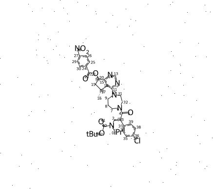 CC(C)N(C[C@@H](C(=O)N1CCCN(c2ncnc3c2[C@H](C)C[C@H]3OC(=O)c2ccc([N+](=O)[O-])cc2)CC1)c1ccc(Cl)cc1)C(=O)OC(C)(C)C